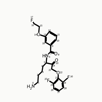 NCCCCC(NC(=O)c1cccc(OCCF)c1)C(=O)COc1c(F)cccc1F